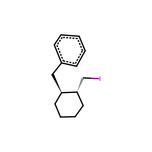 IC[C@@H]1CCCC[C@H]1Cc1ccccc1